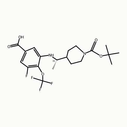 C[C@H](Nc1cc(C(=O)O)cc(F)c1OC(F)(F)F)C1CCN(C(=O)OC(C)(C)C)CC1